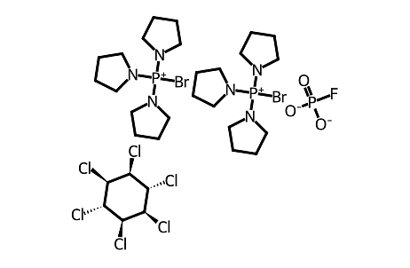 Br[P+](N1CCCC1)(N1CCCC1)N1CCCC1.Br[P+](N1CCCC1)(N1CCCC1)N1CCCC1.Cl[C@H]1[C@H](Cl)[C@@H](Cl)[C@@H](Cl)[C@H](Cl)[C@H]1Cl.O=P([O-])([O-])F